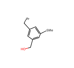 CSc1cc(CO)cc(CC(C)C)c1